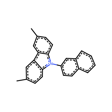 Cc1ccc2c(c1)c1cc(C)ccc1n2-c1ccc2ccccc2c1